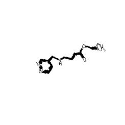 CCOC(=O)CCCNCc1ccnnc1